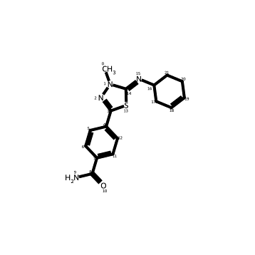 Cn1nc(-c2ccc(C(N)=O)cc2)sc1=NC1CC=CCC1